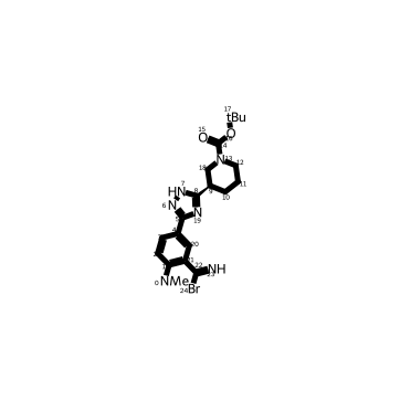 CNc1ccc(-c2n[nH]c([C@@H]3CCCN(C(=O)OC(C)(C)C)C3)n2)cc1C(=N)Br